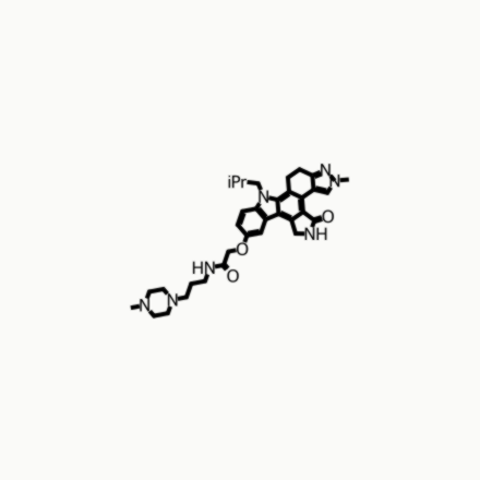 CC(C)Cn1c2ccc(OCC(=O)NCCCN3CCN(C)CC3)cc2c2c3c(c4c(c21)CCc1nn(C)cc1-4)C(=O)NC3